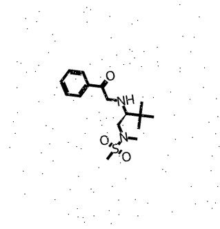 CN(C[C@@H](NCC(=O)c1ccccc1)C(C)(C)C)S(C)(=O)=O